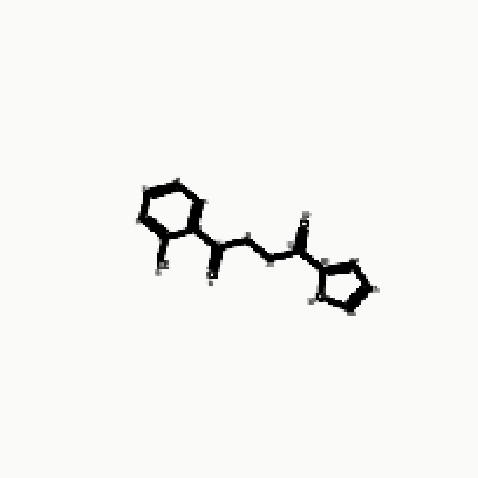 CCc1ccccc1C(=O)CCC(=O)c1ccco1